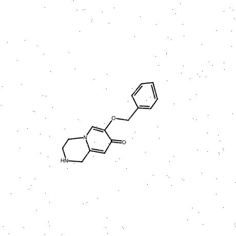 O=c1cc2n(cc1OCc1ccccc1)CCNC2